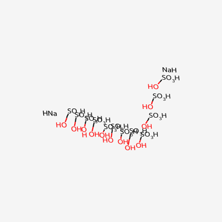 O=S(=O)(O)O.O=S(=O)(O)O.O=S(=O)(O)O.O=S(=O)(O)O.O=S(=O)(O)O.O=S(=O)(O)O.O=S(=O)(O)O.O=S(=O)(O)O.O=S(=O)(O)O.O=S(=O)(O)O.O=S(=O)(O)O.O=S(=O)(O)O.[NaH].[NaH]